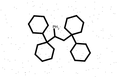 PC(CC1(C2CCCCC2)CCCCC1)C1(C2CCCCC2)CCCCC1